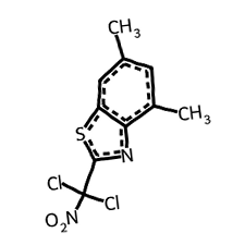 Cc1cc(C)c2nc(C(Cl)(Cl)[N+](=O)[O-])sc2c1